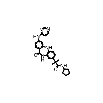 CC(C)(C(=O)NC1CCCC1)c1ccc2c(c1)NC(=O)c1ccc(Nc3ccncn3)cc1N2